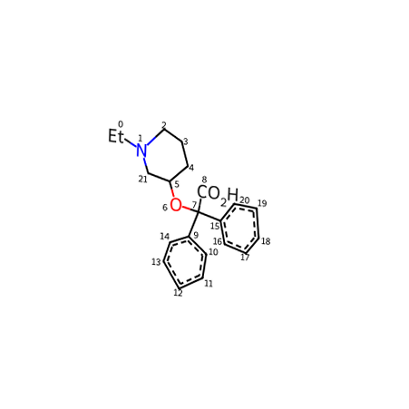 CCN1CCCC(OC(C(=O)O)(c2ccccc2)c2ccccc2)C1